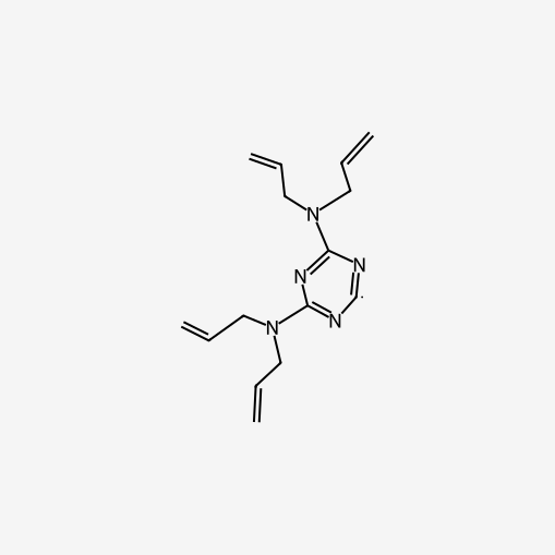 C=CCN(CC=C)c1n[c]nc(N(CC=C)CC=C)n1